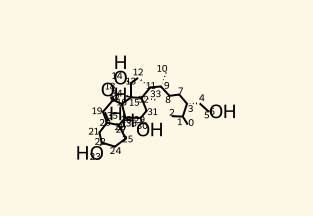 CC(C)[C@@H](CCO)CC[C@@H](C)[C@H]1C[C@@H](O)[C@H]2[C@@H]3C(=O)C=C4C[C@@H](O)CC[C@]4(C)[C@H]3[C@H](O)C[C@@]21C